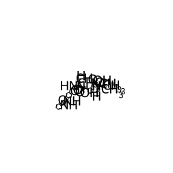 CC(C)CC(NC(=O)Cc1ccc(NC(=O)Nc2ccccc2)cc1)C(=O)NC(Cc1ccccc1CC(NC(=O)CC(C)(C)C)C(=O)O)C(=O)O